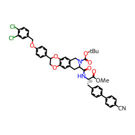 COC(=O)[C@H](Cc1ccc(-c2ccc(C#N)cc2)cc1)NC(=O)C1Cc2cc3c(cc2CN1C(=O)OC(C)(C)C)OC(c1ccc(OCc2ccc(Cl)c(Cl)c2)cc1)CO3